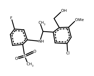 COc1cc(Cl)cc(C(C)Nc2cc(F)ccc2S(C)(=O)=O)c1CO